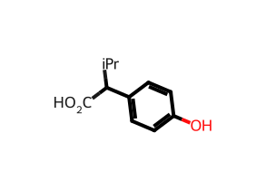 CC(C)C(C(=O)O)c1ccc(O)cc1